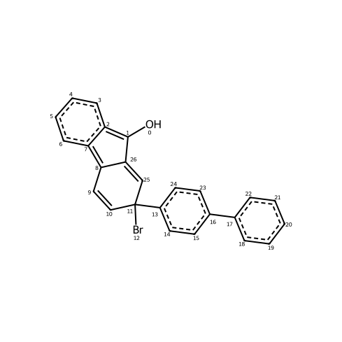 OC1=c2ccccc2=C2C=CC(Br)(c3ccc(-c4ccccc4)cc3)C=C12